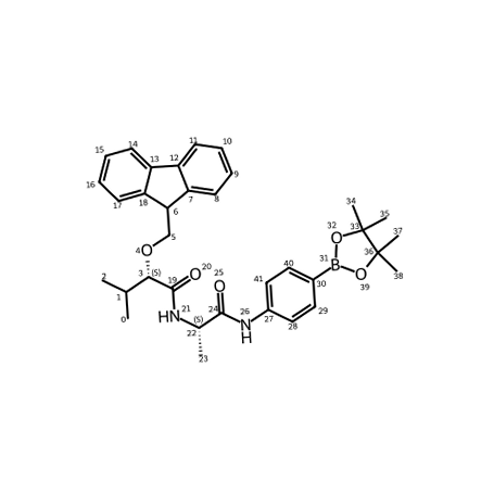 CC(C)[C@H](OCC1c2ccccc2-c2ccccc21)C(=O)N[C@@H](C)C(=O)Nc1ccc(B2OC(C)(C)C(C)(C)O2)cc1